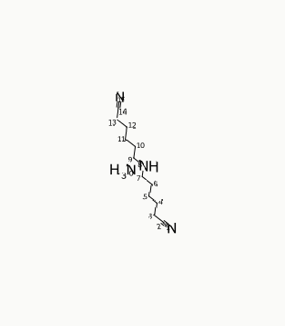 N.N#CCCCCCNCCCCCC#N